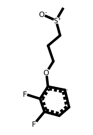 C[S+]([O-])CCCOc1[c]ccc(F)c1F